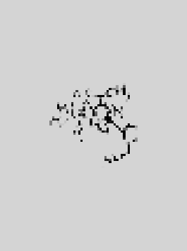 CC(C)[C@H](NC(=O)C1CCCC(CO)C1)C(=O)OC(C)(C)C